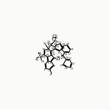 Cc1ccc2c(c1)=[C]([Zr+2]=[C](c1ccccc1)c1ccccc1)C1=C(C3=CC=CC3)C(C)([Si](C)(C)C)C=C([Si](C)(C)C)C=21.[Cl-].[Cl-]